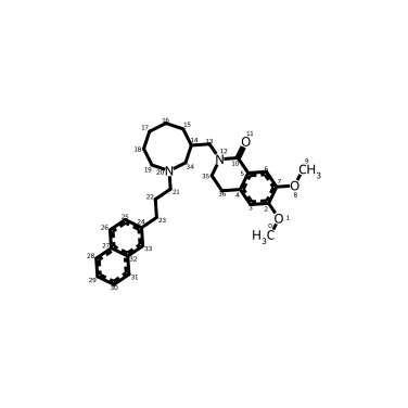 COc1cc2c(cc1OC)C(=O)N(CC1CCCCCN(CCCc3ccc4ccccc4c3)C1)CC2